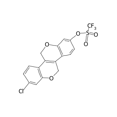 O=S(=O)(Oc1ccc2c(c1)OCC1=C2COc2cc(Cl)ccc21)C(F)(F)F